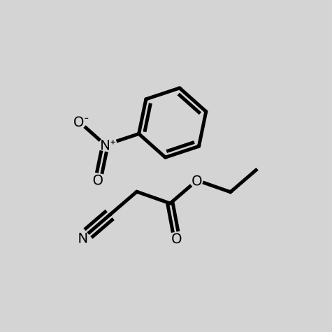 CCOC(=O)CC#N.O=[N+]([O-])c1ccccc1